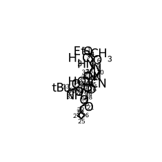 CCOC(C)(C)C(=O)Nc1ncnn2c([C@]3(C#N)O[C@H](COC(=O)CC4CCC4)[C@@H](OC(=O)[C@H](N)C(C)(C)C)[C@H]3O)ccc12